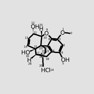 COc1cc(O)c2c3c1O[C@H]1[C@@H](O)C=C[C@@]4(O)[C@@H](C2)N(C)CC[C@]314.Cl